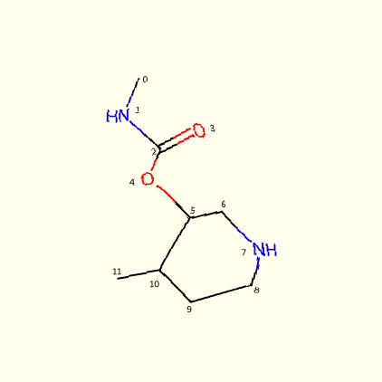 CNC(=O)OC1CNCCC1C